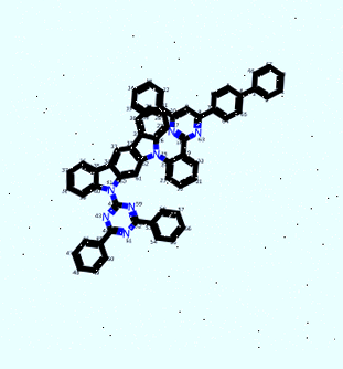 c1ccc(-c2ccc(-c3cc(-c4ccccc4)nc(-c4ccccc4-n4c5ccccc5c5cc6c7ccccc7n(-c7nc(-c8ccccc8)nc(-c8ccccc8)n7)c6cc54)n3)cc2)cc1